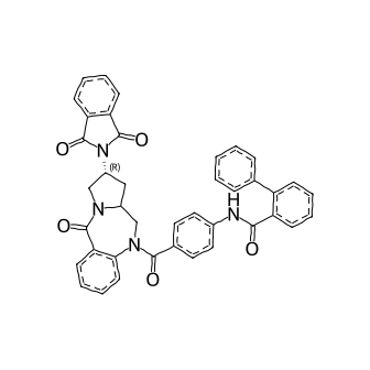 O=C(Nc1ccc(C(=O)N2CC3C[C@@H](N4C(=O)c5ccccc5C4=O)CN3C(=O)c3ccccc32)cc1)c1ccccc1-c1ccccc1